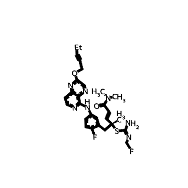 CCC#CCOc1cnc2c(Nc3ccc(F)c(C[C@](C)(/C=C/C(=O)N(C)C)S/C(N)=N\CF)c3)nccc2n1